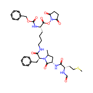 CSCC[C@H](NC=O)C(=O)N[C@H]1CC(C)N([C@@H](Cc2ccccc2)C(=O)NCCCC[C@H](NC(=O)OCc2ccccc2)C(=O)ON2C(=O)CCC2=O)C1=O